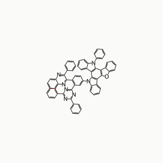 c1ccc(-c2nc(-c3ccccc3)nc(-c3cc(-n4c5ccccc5c5c6oc7ccccc7c6c6c(c7ccccc7n6-c6ccccc6)c54)ccc3-c3nc4ccccc4nc3-c3ccccc3)n2)cc1